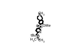 COc1cc2c(cc1S(=O)(=O)c1ccc(C(O[SiH](C)C)C(C)(C)C)nc1)CCN(C)CC2